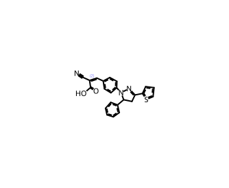 N#C/C(=C/c1ccc(N2N=C(c3cccs3)CC2c2ccccc2)cc1)C(=O)O